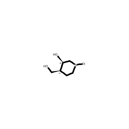 CCN1CC[C@@H](CO)[C@@H](O)C1